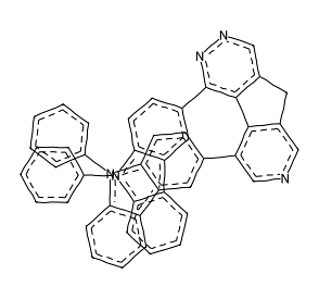 c1ccc(-n2c3ccccc3c3cc(-c4cncc5c4-c4c(cnnc4-c4ccc6c(c4)c4ccccc4n6-c4ccccc4)C5)ccc32)cc1